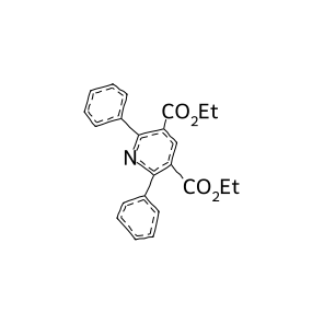 CCOC(=O)c1cc(C(=O)OCC)c(-c2ccccc2)nc1-c1ccccc1